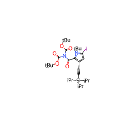 CC(C)[Si](C#Cc1cc(I)n(C(C)(C)C)c1C(=O)N(C(=O)OC(C)(C)C)C(=O)OC(C)(C)C)(C(C)C)C(C)C